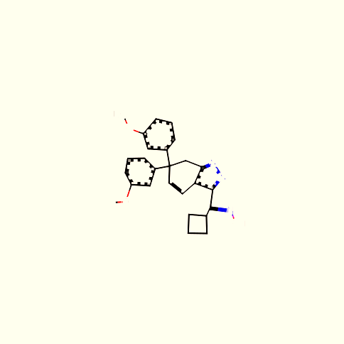 COc1cccc(C2(c3cccc(OC)c3)C=Cc3c(/C(=N/O)C4CCC4)n[nH]c3C2)c1